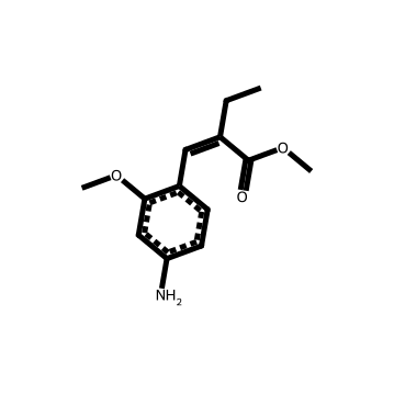 CC/C(=C/c1ccc(N)cc1OC)C(=O)OC